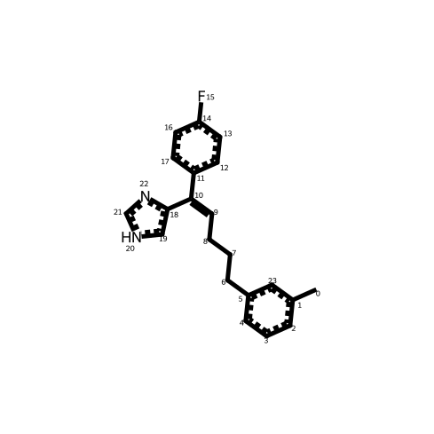 Cc1cccc(CCCC=C(c2ccc(F)cc2)c2c[nH]cn2)c1